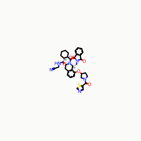 N#CCNC(=O)[C@@H]1CCCCC1C(=O)N1CCc2cccc(OC3CCN(C(=O)c4cncs4)C3)c2[C@H]1CN1C(=O)c2ccccc2C1=O